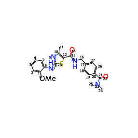 COc1ccccc1Nc1nc(C)c(C(=O)NCc2ccc(C(=O)N(C)C)cc2)s1